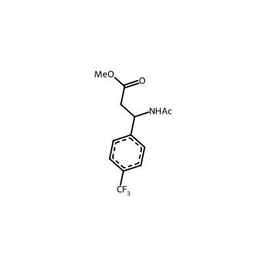 COC(=O)CC(NC(C)=O)c1ccc(C(F)(F)F)cc1